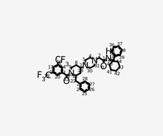 O=C(CN1CCN(C2CCN(C(=O)c3cc(C(F)(F)F)cc(C(F)(F)F)c3)C(Cc3ccccc3)C2)CC1)NC1(c2ccccc2)CCCCC1